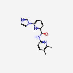 Cc1ccc(NC(=O)c2cccc(-n3ccnc3)n2)nc1C